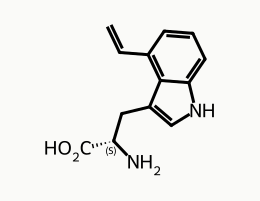 C=Cc1cccc2[nH]cc(C[C@H](N)C(=O)O)c12